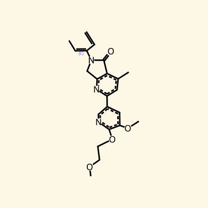 C=C/C(=C\C)N1Cc2nc(-c3cnc(OCCOC)c(OC)c3)cc(C)c2C1=O